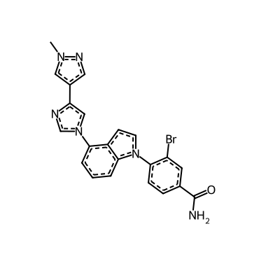 Cn1cc(-c2cn(-c3cccc4c3ccn4-c3ccc(C(N)=O)cc3Br)cn2)cn1